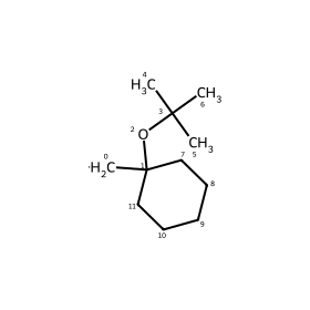 [CH2]C1(OC(C)(C)C)CCCCC1